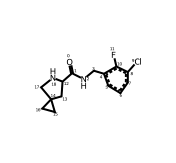 O=C(NCc1cccc(Cl)c1F)C1CC2(CC2)CN1